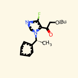 CC(C)COCC(=O)c1c(F)ncn1[C@H](C)c1ccccc1